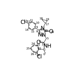 CC(NC(=O)Cn1nc(-c2ccc(Cl)cc2)n(C2CC2)c1=O)c1ccccc1Cl